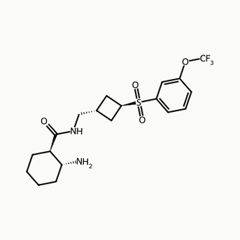 N[C@@H]1CCCC[C@H]1C(=O)NC[C@H]1C[C@H](S(=O)(=O)c2cccc(OC(F)(F)F)c2)C1